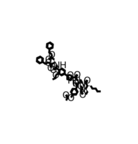 CCCCC[C@@H](C(=O)NCNC(=O)c1ccc(-c2ccc(C(=O)N[C@@H](CC(=O)OCc3ccccc3)C(=O)OCc3ccccc3)c(OCC)c2)o1)[C@@H](CC)N(C=O)OC(=O)c1ccc(OC(C)=O)cc1